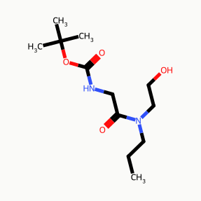 CCCN(CCO)C(=O)CNC(=O)OC(C)(C)C